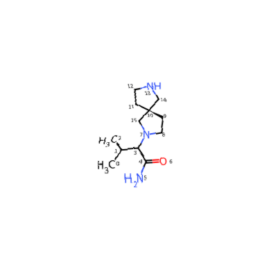 CC(C)C(C(N)=O)N1CC[C@]2(CCNC2)C1